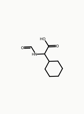 O=CNC(C(=O)O)C1CCCCC1